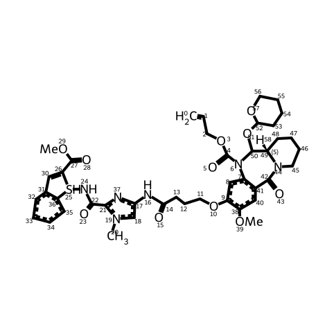 C=CCOC(=O)N1c2cc(OCCCC(=O)Nc3cn(C)c(C(=O)N[SH]4C(C(=O)OC)=Cc5ccccc54)n3)c(OC)cc2C(=O)N2CCCC[C@H]2C1OC1CCCCO1